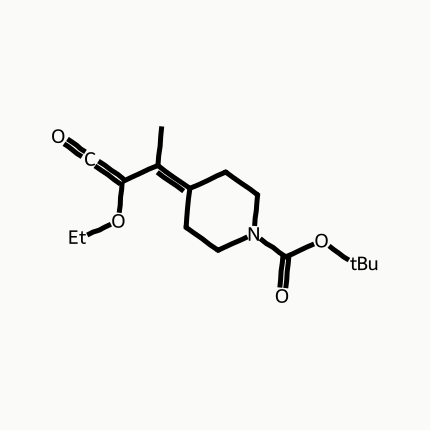 CCOC(=C=O)C(C)=C1CCN(C(=O)OC(C)(C)C)CC1